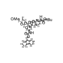 COCCOCCOC[C@@H](CN(CC(=O)OCCI)C(=O)Cn1ccc(NC(=O)OC(C)(C)C)nc1=O)NC(=O)OCC1c2ccccc2-c2ccccc21